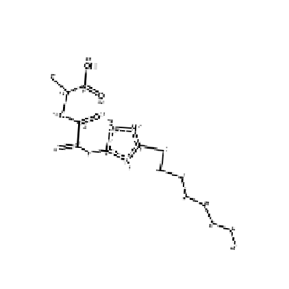 C=C(Cc1nc(CCCCCCCC)no1)C(=O)OC(C)C(=O)O